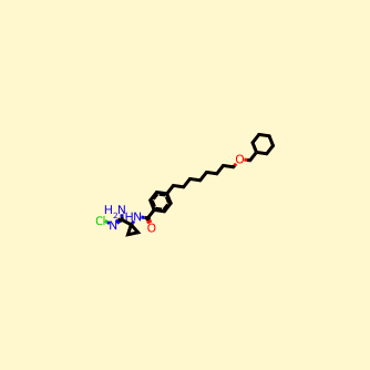 N/C(=N\Cl)C1(NC(=O)c2ccc(CCCCCCCCOCC3CCCCC3)cc2)CC1